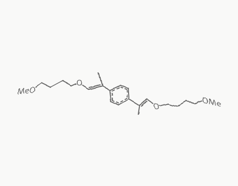 COCCCCOC=C(C)c1ccc(C(C)=COCCCCOC)cc1